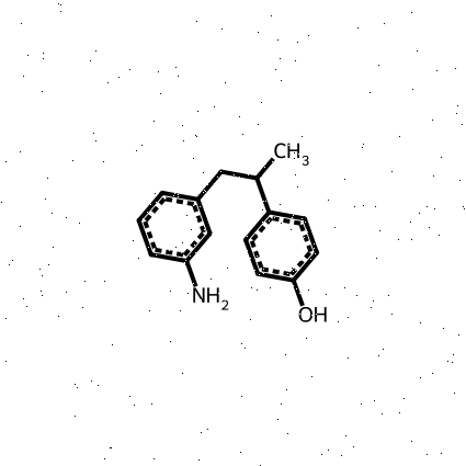 CC(Cc1cccc(N)c1)c1ccc(O)cc1